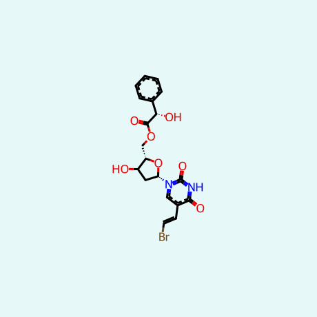 O=C(OC[C@@H]1O[C@H](n2cc(C=CBr)c(=O)[nH]c2=O)CC1O)[C@@H](O)c1ccccc1